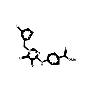 COC(=O)c1ccc(Nc2ncn(Cc3cccc(F)c3)c(=O)c2Br)cc1